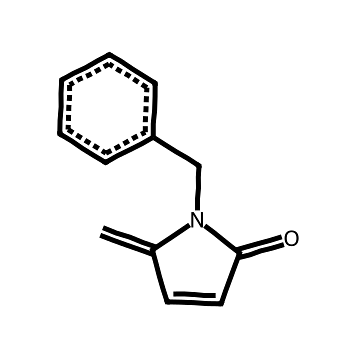 C=C1C=CC(=O)N1Cc1ccccc1